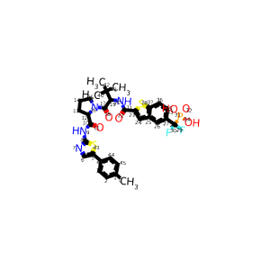 Cc1ccc(-c2cnc(NC(=O)C3CCCN3C(=O)C(NC(=O)c3cc4cc(C(F)(F)P(=O)(O)O)ccc4s3)C(C)(C)C)s2)cc1